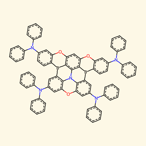 c1ccc(N(c2ccccc2)c2ccc3c(c2)Oc2cc4c5c6c2B3c2cc(N(c3ccccc3)c3ccccc3)cc3c2N6c2c(cc(N(c6ccccc6)c6ccccc6)cc2B5c2ccc(N(c5ccccc5)c5ccccc5)cc2O4)O3)cc1